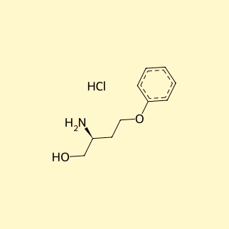 Cl.N[C@H](CO)CCOc1ccccc1